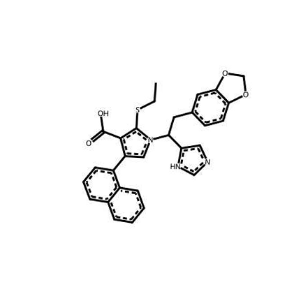 CCSc1c(C(=O)O)c(-c2cccc3ccccc23)cn1C(Cc1ccc2c(c1)OCO2)c1cnc[nH]1